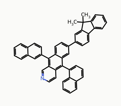 CC1(C)c2ccccc2-c2ccc(-c3ccc4c(-c5ccc6ccccc6c5)c5cnccc5c(-c5cccc6ccccc56)c4c3)cc21